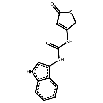 O=C(NC1=CC(=O)SC1)Nc1c[nH]c2ccccc12